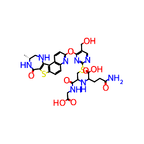 C[C@@H]1CNc2c(sc3ccc4nc(Oc5nc(SCC(NC(CCC(N)=O)C(=O)O)C(=O)NCC(=O)O)ncc5CO)ccc4c23)C(=O)N1